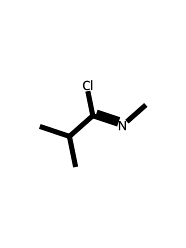 C/N=C(\Cl)C(C)C